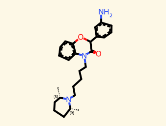 C[C@@H]1CCC[C@H](C)N1CCCCCN1C(=O)C(c2cccc(N)c2)Oc2ccccc21